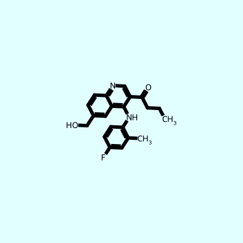 CCCC(=O)c1cnc2ccc(CO)cc2c1Nc1ccc(F)cc1C